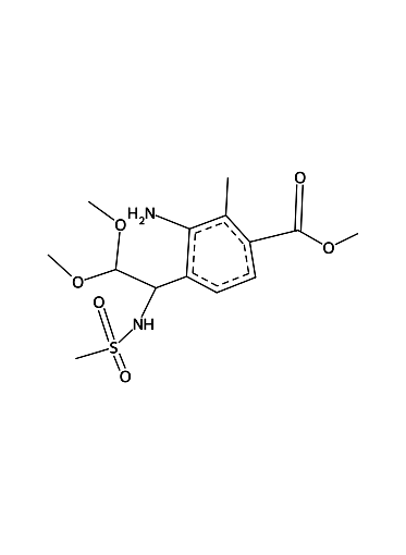 COC(=O)c1ccc(C(NS(C)(=O)=O)C(OC)OC)c(N)c1C